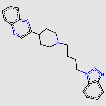 c1ccc2nc(C3CCN(CCCCn4nnc5ccccc54)CC3)cnc2c1